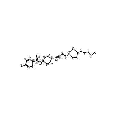 CCCCC[C@H]1CC[C@H](C=CC#C[C@H]2CC[C@H](OC(=O)c3ccc(C)cc3)CC2)CC1